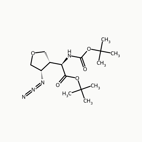 CC(C)(C)OC(=O)N[C@@H](C(=O)OC(C)(C)C)[C@H]1COC[C@H]1N=[N+]=[N-]